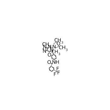 Cc1ccc(NC(=O)c2cccc(C(F)(F)F)c2)cc1Oc1nc(N2CC(C)OC(C)C2)nc2c1ncn2C